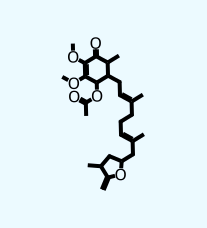 C=C1OC(C/C(C)=C/CC/C(C)=C/CC2C(C)C(=O)C(OC)=C(OC)C2OC(C)=O)CC1C